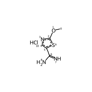 COc1ncc(C(=N)N)s1.Cl